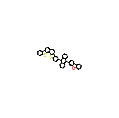 c1ccc2c(c1)oc1cc(-c3c4ccccc4c(-c4ccc5sc6c(ccc7ccc8c9ccccc9sc8c76)c5c4)c4ccccc34)ccc12